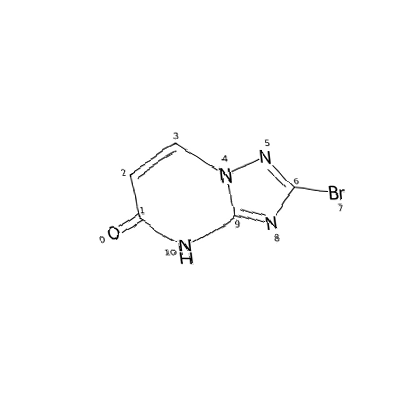 O=c1ccn2nc(Br)nc2[nH]1